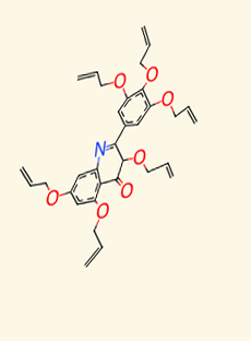 C=CCOc1cc2c(c(OCC=C)c1)C(=O)C(OCC=C)C(c1cc(OCC=C)c(OCC=C)c(OCC=C)c1)=N2